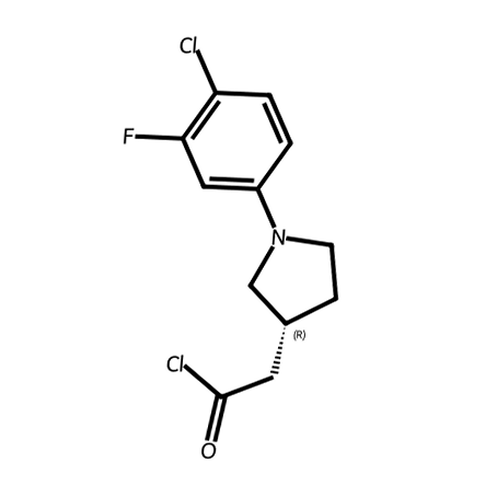 O=C(Cl)C[C@H]1CCN(c2ccc(Cl)c(F)c2)C1